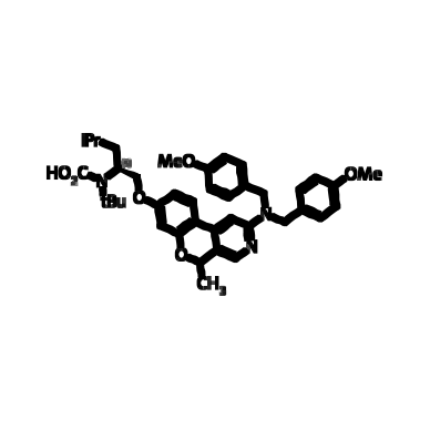 COc1ccc(CN(Cc2ccc(OC)cc2)c2cc3c(cn2)C(C)Oc2cc(OC[C@H](CC(C)C)N(C(=O)O)C(C)(C)C)ccc2-3)cc1